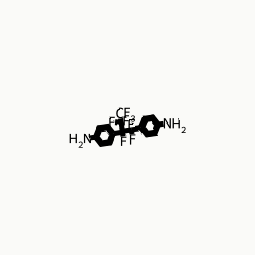 Nc1ccc(C(F)(F)C(F)(c2ccc(N)cc2)C(F)(F)C(F)(F)F)cc1